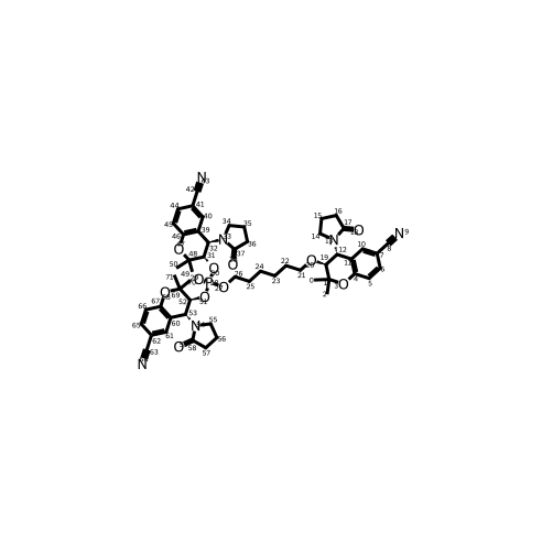 CC1(C)Oc2ccc(C#N)cc2[C@@H](N2CCCC2=O)[C@@H]1OCCCCCCOP(=O)(O[C@H]1[C@H](N2CCCC2=O)c2cc(C#N)ccc2OC1(C)C)O[C@H]1[C@H](N2CCCC2=O)c2cc(C#N)ccc2OC1(C)C